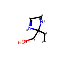 [CH2]CC1(CO)N=CC=N1